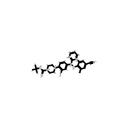 Cc1cc(C#N)cc(C)c1ON(c1ccc(N2CCN(C(=O)OC(C)(C)C)CC2)c(F)c1)c1ncccn1